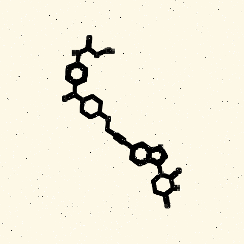 CC(C)(C)OC(=O)Nc1ccc(C(=O)N2CCC(OCC#Cc3ccn4c(N5CCC(=O)NC5=O)cnc4c3)CC2)cc1